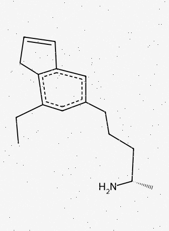 CCc1cc(CCC[C@H](C)N)cc2c1CC=C2